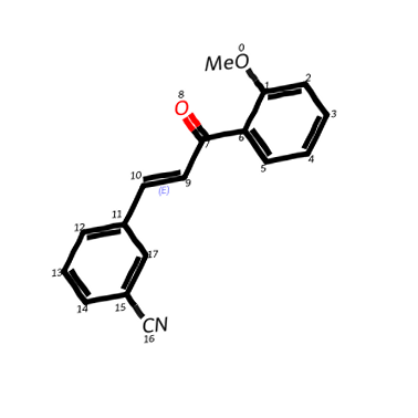 COc1ccccc1C(=O)/C=C/c1cccc(C#N)c1